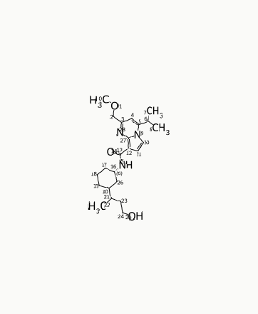 COCc1cc(C(C)C)n2ccc(C(=O)N[C@H]3CCCC(C(C)CCO)C3)c2n1